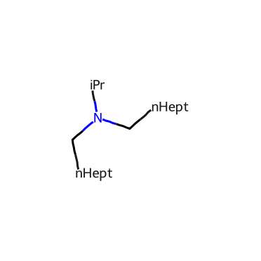 CCCCCCCCN(CCCCCCCC)C(C)C